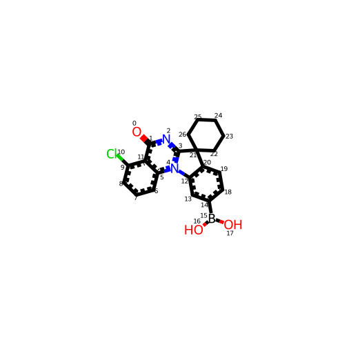 O=c1nc2n(c3cccc(Cl)c13)-c1cc(B(O)O)ccc1C21CCCCC1